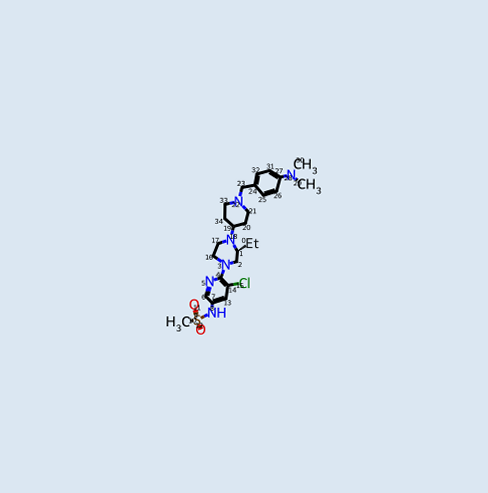 CC[C@H]1CN(c2ncc(NS(C)(=O)=O)cc2Cl)CCN1C1CCN(Cc2ccc(N(C)C)cc2)CC1